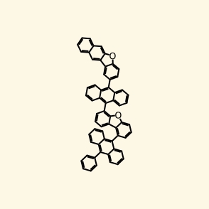 c1ccc(-c2c3ccccc3c(-c3cccc4oc5c(-c6c7ccccc7c(-c7ccc8oc9cc%10ccccc%10cc9c8c7)c7ccccc67)cccc5c34)c3ccccc23)cc1